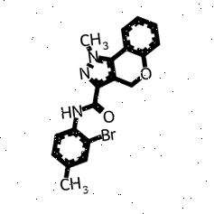 Cc1ccc(NC(=O)c2nn(C)c3c2COc2ccccc2-3)c(Br)c1